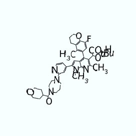 Cc1nc2c(cc(-c3ccnc(N4CCCN(C(=O)C5CCOCC5)CC4)c3)n2C)c(-c2cc(F)c3c(c2C)CCCO3)c1[C@H](OC(C)(C)C)C(=O)O